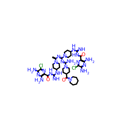 C=C(/N=C(\N=C(/N)N1CCC(C(=O)N2CCCCCC2)CC1)N1CCC(NC(=N)NC(=O)c2nc(Cl)c(N)nc2N)CC1)N1CCC(NC(=N)NC(=O)c2nc(Cl)c(N)nc2N)CC1